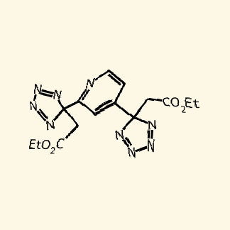 CCOC(=O)CC1(c2ccnc(C3(CC(=O)OCC)N=NN=N3)c2)N=NN=N1